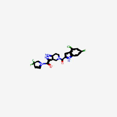 O=C(c1cc2c(Cl)cc(F)cc2[nH]1)N1CCc2[nH]nc(C(=O)N3CCC(F)(F)C3)c2C1